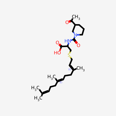 CC(=O)C1CCCN(C(=O)NC(CSC/C=C(\C)CC/C=C(\C)CCC=C(C)C)C(=O)O)C1